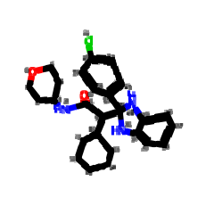 O=C(NC1CCOCC1)C(C1CCCCC1)C1(c2ccc(Cl)cc2)Nc2ccccc2N1